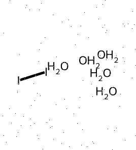 II.O.O.O.O.O